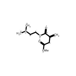 C=C(CC(=O)OC)C(=O)OCCN(C)C